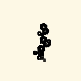 Cn1nc2cc(N3CCOc4cc(C(=O)N5CCc6ccccc65)cnc43)ccn2c1=O